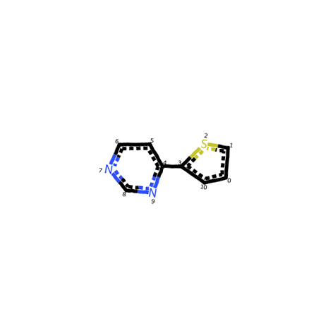 c1csc(-c2ccncn2)c1